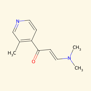 Cc1cnccc1C(=O)C=CN(C)C